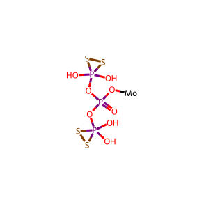 O=P([O][Mo])(OP1(O)(O)SS1)OP1(O)(O)SS1